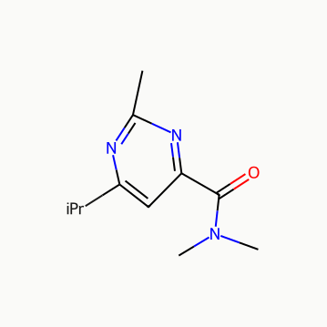 Cc1nc(C(=O)N(C)C)cc(C(C)C)n1